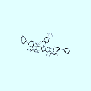 Cc1ccc(N2c3cc4c(cc3Oc3cc5c(cc32)-c2ccc(-c3ccccc3)cc2S5(C)C)S(C)(C)c2cc(-c3ccccc3)ccc2-4)c(C)c1